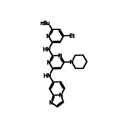 CCCCc1cc(CC)cc(Nc2nc(Nc3ccn4ccnc4c3)cc(N3CCCCC3)n2)n1